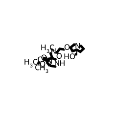 CN(CC12CCC(CNC1)N2C(=O)OC(C)(C)C)C(=O)CCO[C@H]1CN2CCC[C@]2(CO)C1